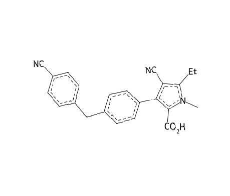 CCc1c(C#N)c(-c2ccc(Cc3ccc(C#N)cc3)cc2)c(C(=O)O)n1C